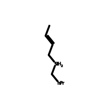 CC=CC[SiH2]CCCC